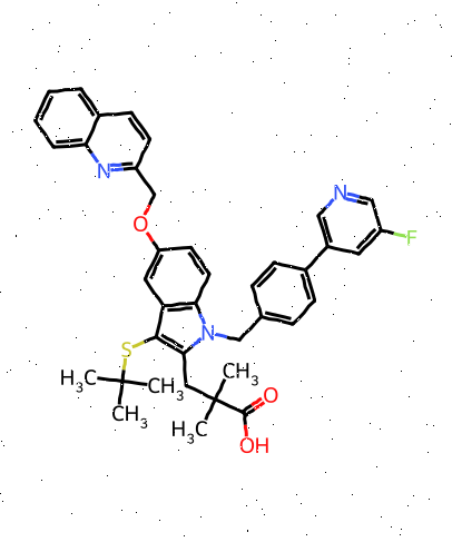 CC(C)(C)Sc1c(CC(C)(C)C(=O)O)n(Cc2ccc(-c3cncc(F)c3)cc2)c2ccc(OCc3ccc4ccccc4n3)cc12